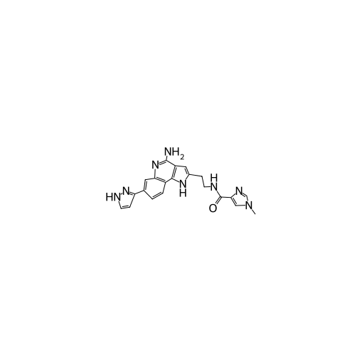 Cn1cnc(C(=O)NCCc2cc3c(N)nc4cc(-c5cc[nH]n5)ccc4c3[nH]2)c1